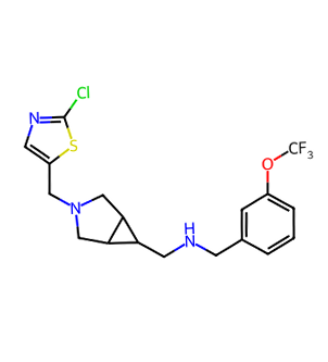 FC(F)(F)Oc1cccc(CNCC2C3CN(Cc4cnc(Cl)s4)CC23)c1